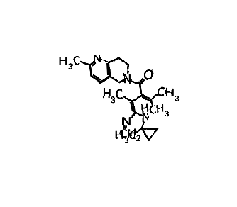 C=N/C(NC1(C)CC1)=C(\C)C(C(=O)N1CCc2nc(C)ccc2C1)=C(C)C